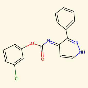 O=C(N=c1cc[nH]nc1-c1ccccc1)Oc1cccc(Cl)c1